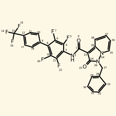 O=C(Nc1c(F)c(F)c(-c2ccc(C(F)(F)F)cc2)c(F)c1F)c1c(=O)n(Cc2ccccc2)n2ccccc12